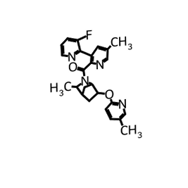 Cc1ccc(OC2CC3CC2N(C(=O)c2ncc(C)cc2-c2ncccc2F)C3C)nc1